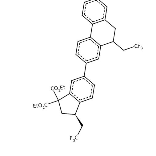 CCOC(=O)C1(C(=O)OCC)C[C@H](CC(F)(F)F)c2ccc(-c3ccc4c(c3)C(CC(F)(F)F)Cc3ccccc3-4)cc21